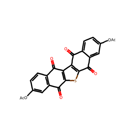 CC(=O)Oc1ccc2c(=O)c3c(sc4c(=O)c5cc(OC(C)=O)ccc5c(=O)c43)c(=O)c2c1